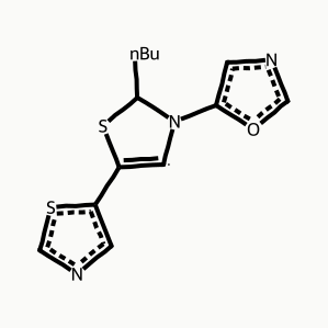 CCCCC1SC(c2cncs2)=[C]N1c1cnco1